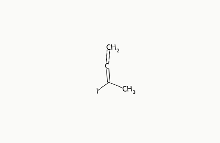 C=C=C(C)I